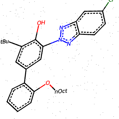 CCCCCCCCOc1ccccc1-c1cc(-n2nc3ccc(Cl)cc3n2)c(O)c(C(C)(C)C)c1